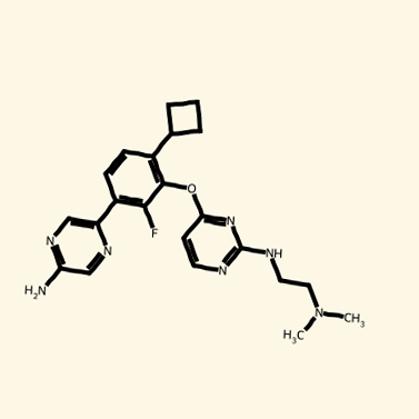 CN(C)CCNc1nccc(Oc2c(C3CCC3)ccc(-c3cnc(N)cn3)c2F)n1